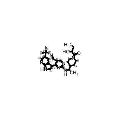 CCC(O)C(=O)N1CCC([C@@H](C)Nc2ncc(C#N)c(-c3c[nH]c4ncc(C(F)(F)F)cc34)n2)CC1